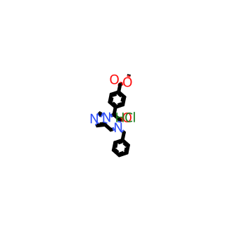 COC(=O)c1ccc(C2C(=O)N(Cc3ccccc3)Cc3cncn32)cc1.Cl